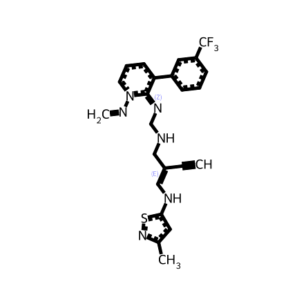 C#C/C(=C\Nc1cc(C)ns1)CNC/N=c1/c(-c2cccc(C(F)(F)F)c2)cccn1N=C